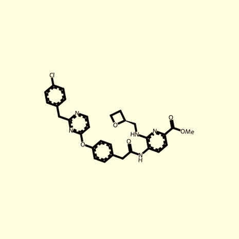 COC(=O)c1ccc(NC(=O)Cc2ccc(Oc3ccnc(Cc4ccc(Cl)cc4)n3)cc2)c(NC[C@@H]2CCO2)n1